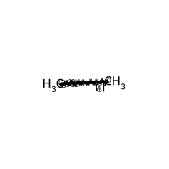 C[CH]CC(Cl)CCCCCCCCCCCCC